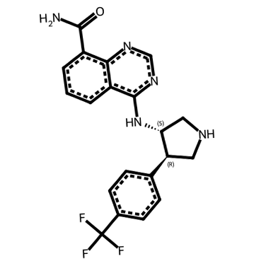 NC(=O)c1cccc2c(N[C@@H]3CNC[C@H]3c3ccc(C(F)(F)F)cc3)ncnc12